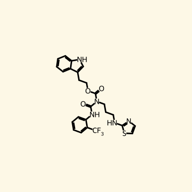 O=C(Nc1ccccc1C(F)(F)F)N(CCCNc1nccs1)C(=O)OCCc1c[nH]c2ccccc12